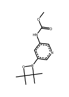 COC(=O)Nc1cncc(B2OC(C)(C)C2(C)C)c1